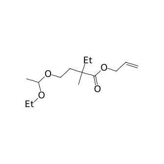 C=CCOC(=O)C(C)(CC)CCOC(C)OCC